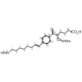 CCCCCCCCCCCCCCCCC=Cc1ccc(C(=O)N(CCCC(=O)O)OCCCCCC)cc1